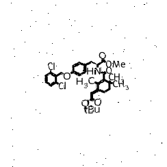 COC(=O)[C@H](Cc1ccc(OCc2c(Cl)cccc2Cl)cc1)NC(=O)C1=C(C)C(=CC(=O)OC(C)(C)C)CCC1(C)C